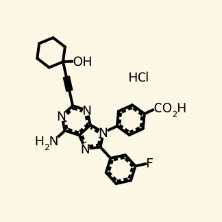 Cl.Nc1nc(C#CC2(O)CCCCC2)nc2c1nc(-c1cccc(F)c1)n2-c1ccc(C(=O)O)cc1